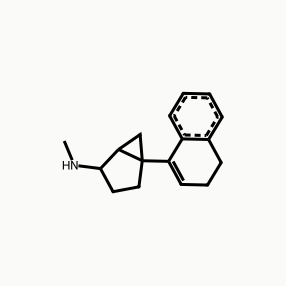 CNC1CCC2(C3=CCCc4ccccc43)CC12